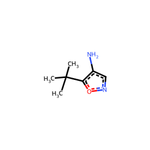 CC(C)(C)c1oncc1N